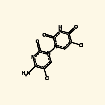 Nc1nc(=O)n(-n2cc(Cl)c(=O)[nH]c2=O)cc1Cl